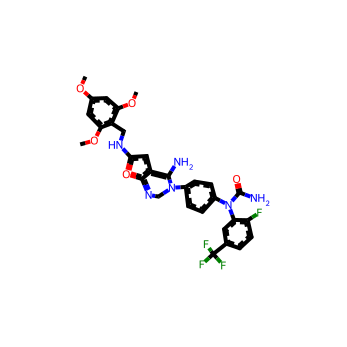 COc1cc(OC)c(CNc2cc3c(o2)=NCN(c2ccc(N(C(N)=O)c4cc(C(F)(F)F)ccc4F)cc2)C=3N)c(OC)c1